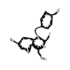 Nc1nc(=O)n(Cc2ccc(Cl)cc2)c2cc(Br)cnc12